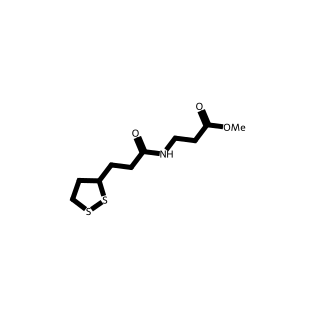 COC(=O)CCNC(=O)CCC1CCSS1